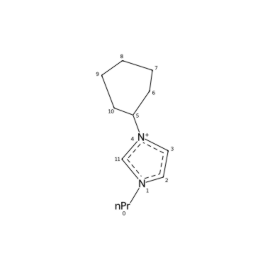 CCCn1cc[n+](C2CCCCC2)c1